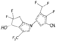 N#Cc1cc(-n2cc(C(F)(F)F)c3c2CC(F)(F)[C@H]3O)cc(C(F)F)c1F